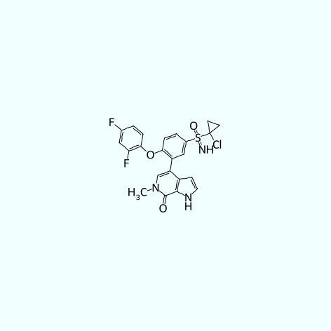 Cn1cc(-c2cc(S(=N)(=O)C3(Cl)CC3)ccc2Oc2ccc(F)cc2F)c2cc[nH]c2c1=O